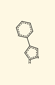 [c]1ccccc1-c1cn[nH]c1